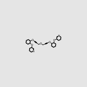 C(#COc1ccccc1Oc1cccnc1)COCC#COc1ccccc1Oc1cccnc1